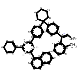 CCC/C=C(/c1ccc(C2(c3ccc(-c4nc(C5=CCCC=C5)nc(-c5cccc6ccccc56)n4)cc3)CCCCC2)cc1)c1ccccc1C